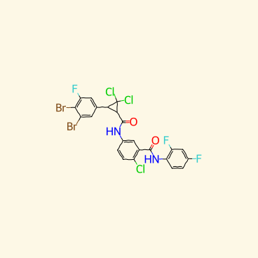 O=C(Nc1ccc(F)cc1F)c1cc(NC(=O)C2C(c3cc(F)c(Br)c(Br)c3)C2(Cl)Cl)ccc1Cl